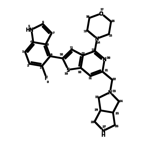 Fc1ccc2[nH]ccc2c1-c1cc2c(N3CCOCC3)nc(CN3CC4CNCC4C3)cc2s1